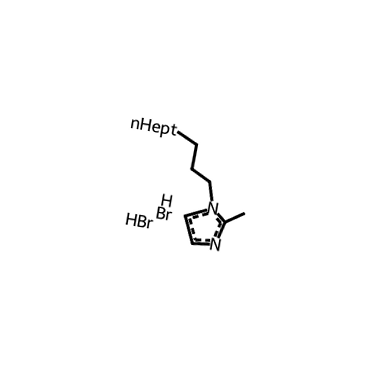 Br.Br.CCCCCCCCCCn1ccnc1C